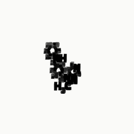 Cc1nc2cnccc2n1Cc1ccc(CNC2CCCCC2)cc1